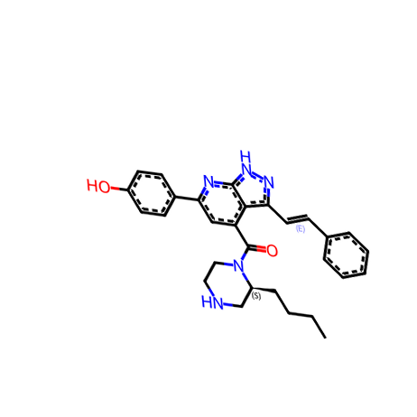 CCCC[C@H]1CNCCN1C(=O)c1cc(-c2ccc(O)cc2)nc2[nH]nc(/C=C/c3ccccc3)c12